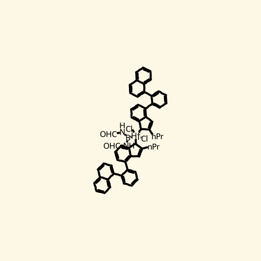 CCCC1=Cc2c(-c3ccccc3-c3cccc4ccccc34)cccc2[CH]1[Hf]([Cl])([Cl])([B](NC=O)NC=O)[CH]1C(CCC)=Cc2c(-c3ccccc3-c3cccc4ccccc34)cccc21